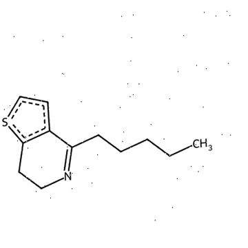 CCCCCC1=NCCc2sccc21